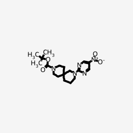 CC(C)(C)OC(=O)N1CCC2(CCCN(c3ncc([N+](=O)[O-])cn3)C2)CC1